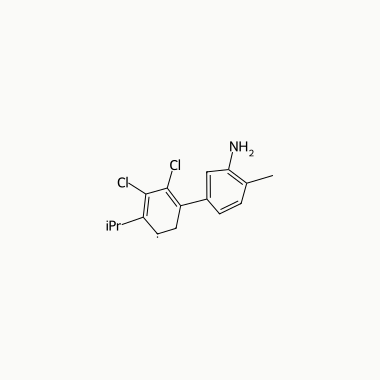 Cc1ccc(C2=C(Cl)C(Cl)=C(C(C)C)[CH]C2)cc1N